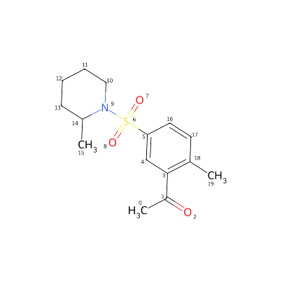 CC(=O)c1cc(S(=O)(=O)N2CCCCC2C)ccc1C